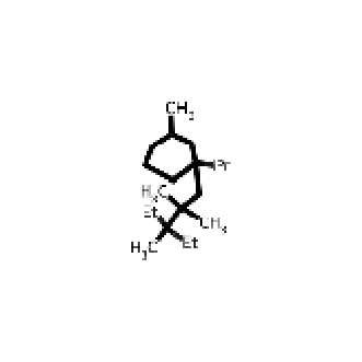 CCC(C)(CC)C(C)(C)CC1(C(C)C)CCCC(C)C1